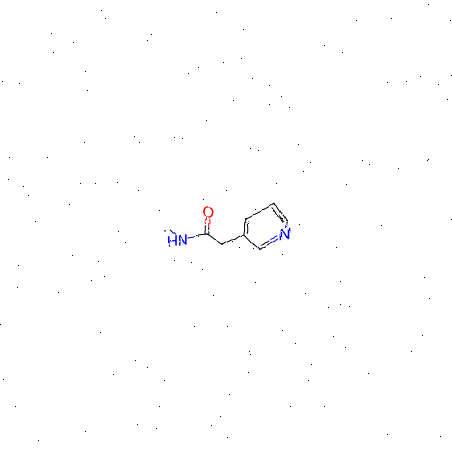 [CH2]NC(=O)Cc1cccnc1